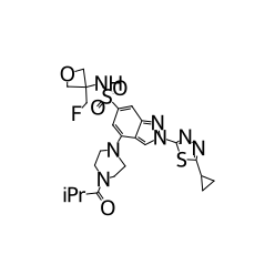 CC(C)C(=O)N1CCN(c2cc(S(=O)(=O)NC3(CF)COC3)cc3nn(-c4nnc(C5CC5)s4)cc23)CC1